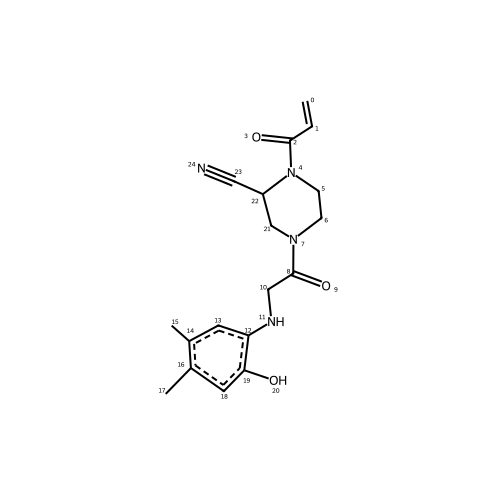 C=CC(=O)N1CCN(C(=O)CNc2cc(C)c(C)cc2O)CC1C#N